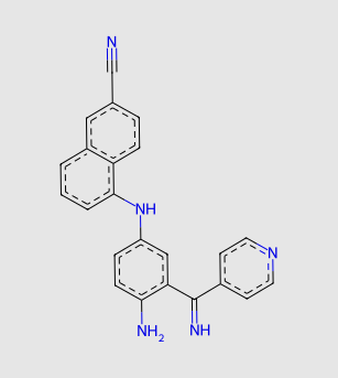 N#Cc1ccc2c(Nc3ccc(N)c(C(=N)c4ccncc4)c3)cccc2c1